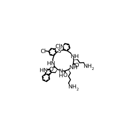 NCCCC[C@@H]1NC(=O)[C@H](CCCN)NCc2cccnc2Sc2c(Cl)cc(Cl)cc2CNC(=O)[C@H](Cc2c[nH]c3ccccc23)NC1=O